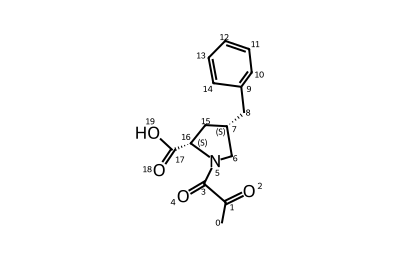 CC(=O)C(=O)N1C[C@@H](Cc2ccccc2)C[C@H]1C(=O)O